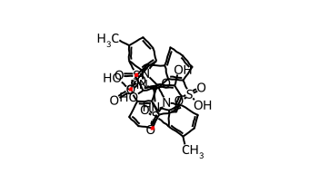 Cc1ccc2c(NC(=O)Nc3c4ccc(C)c3S(=O)(=O)N4c3c(O)ccc4cccc(S(=O)(=O)O)c34)c1S(=O)(=O)N2c1c(O)ccc2cccc(S(=O)(=O)O)c12